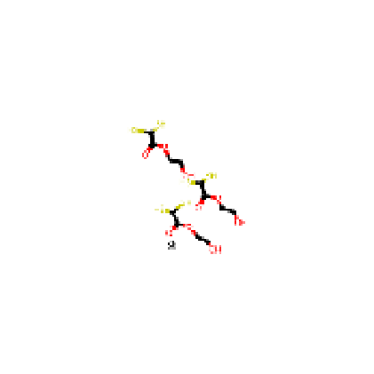 O=C(OCCO)C(S)S.O=C(OCCO)C(S)S.O=C(OCCO)C(S)S.[Sb]